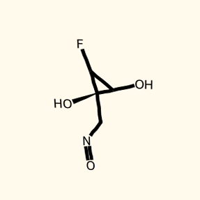 O=NC[C@@]1(O)C(O)C1F